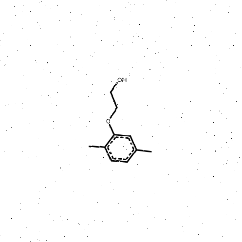 Cc1ccc(C)c(OCCO)c1